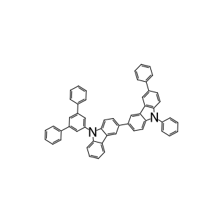 c1ccc(-c2cc(-c3ccccc3)cc(-n3c4ccccc4c4cc(-c5ccc6c(c5)c5cc(-c7ccccc7)ccc5n6-c5ccccc5)ccc43)c2)cc1